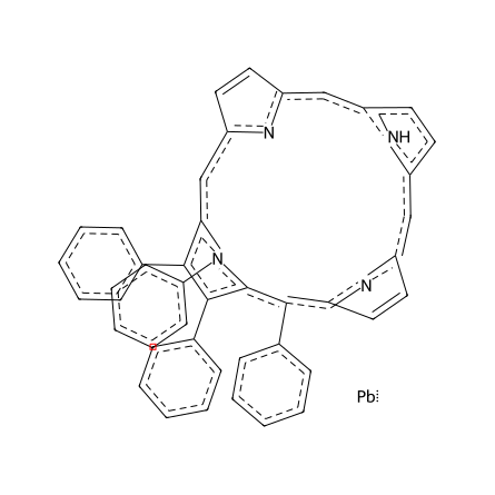 C1=Cc2cc3c(-c4ccccc4)c(-c4ccccc4)c(c(-c4ccccc4)c4nc(cc5ccc(cc1n2)[nH]5)C=C4)n3-c1ccccc1.[Pb]